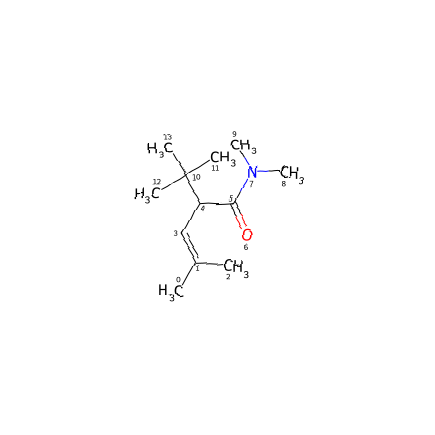 CC(C)=CC(C(=O)N(C)C)C(C)(C)C